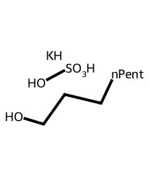 CCCCCCCCO.O=S(=O)(O)O.[KH]